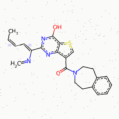 C=N/C(=C\C=C/C)c1nc(O)c2scc(C(=O)N3CCc4ccccc4CC3)c2n1